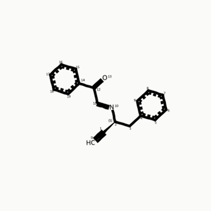 C#C[C@H](Cc1ccccc1)N=CC(=O)c1ccccc1